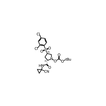 CC(C)(C)OC(=O)ON1C[C@H](S(=O)(=O)c2ccc(Cl)cc2Cl)C[C@H]1C(=O)NC1(C#N)CC1